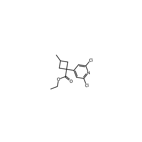 CCOC(=O)C1(c2cc(Cl)nc(Cl)c2)CC(C)C1